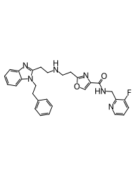 O=C(NCc1ncccc1F)c1coc(CCNCCc2nc3ccccc3n2CCc2ccccc2)n1